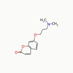 CN(C)CCCOc1ccc2ccc(=O)oc2c1